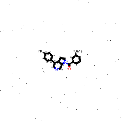 COc1cccc(C(=O)n2ccc3c(-c4ccc(C#N)cc4)cncc32)c1